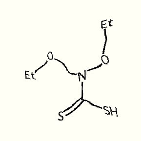 CCON(OCC)C(=S)S